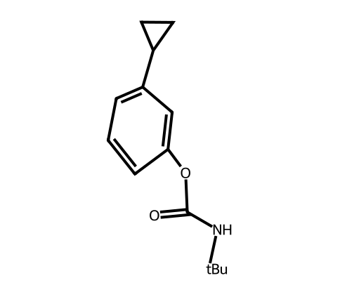 CC(C)(C)NC(=O)Oc1cccc(C2CC2)c1